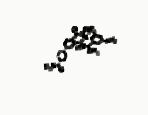 C[C@@H](Nc1nn(C)c(=O)c2ccc([C@H]3CC[C@@H](C(N)=O)CC3)cc12)c1cc(N)cc(C(F)(F)F)c1